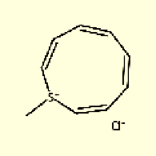 C[s+]1cccccccc1.[Cl-]